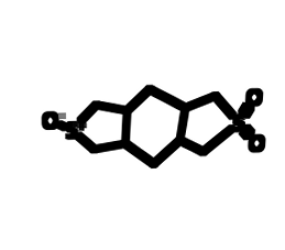 O=S1(=O)CC2CC3C[S+]([O-])CC3CC2C1